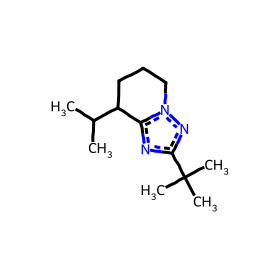 CC(C)C1CCCn2nc(C(C)(C)C)nc21